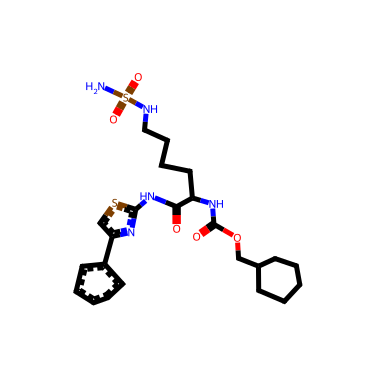 NS(=O)(=O)NCCCCC(NC(=O)OCC1CCCCC1)C(=O)Nc1nc(-c2ccccc2)cs1